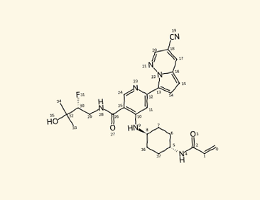 C=CC(=O)N[C@H]1CC[C@H](Nc2cc(-c3ccc4cc(C#N)cnn34)ncc2C(=O)NC[C@@H](F)C(C)(C)O)CC1